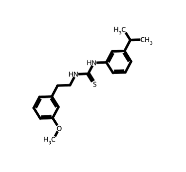 COc1cccc(CCNC(=S)Nc2cccc(C(C)C)c2)c1